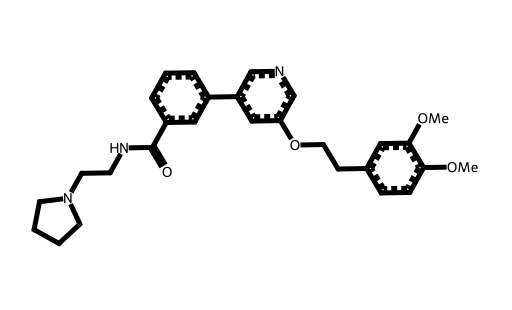 COc1ccc(CCOc2cncc(-c3cccc(C(=O)NCCN4CCCC4)c3)c2)cc1OC